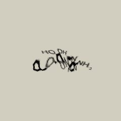 Nc1ncnc2c1ncn2[C@@H]1O[C@H](COCC2CCCCC2)[C@@H](O)[C@H]1O